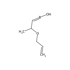 C=CCOC(C)/C=B/O